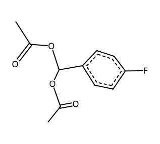 CC(=O)OC(OC(C)=O)c1ccc(F)cc1